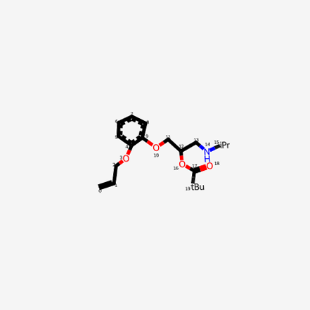 C=CCOc1ccccc1OCC(CNC(C)C)OC(=O)C(C)(C)C